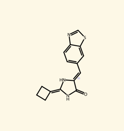 O=c1[nH]c(=C2CCC2)[nH]/c1=C\c1ccc2ncsc2c1